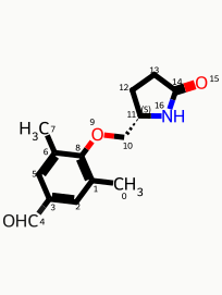 Cc1cc(C=O)cc(C)c1OC[C@@H]1CCC(=O)N1